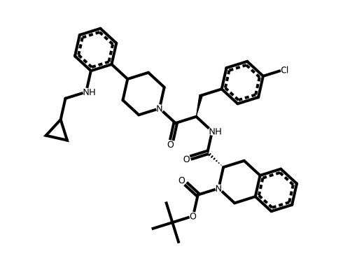 CC(C)(C)OC(=O)N1Cc2ccccc2C[C@H]1C(=O)N[C@H](Cc1ccc(Cl)cc1)C(=O)N1CCC(c2ccccc2NCC2CC2)CC1